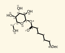 CCCCCCCCCCCCCCCC(=O)O[C@H]1O[C@H](CO)[C@@H](O)[C@H](O)[C@H]1O